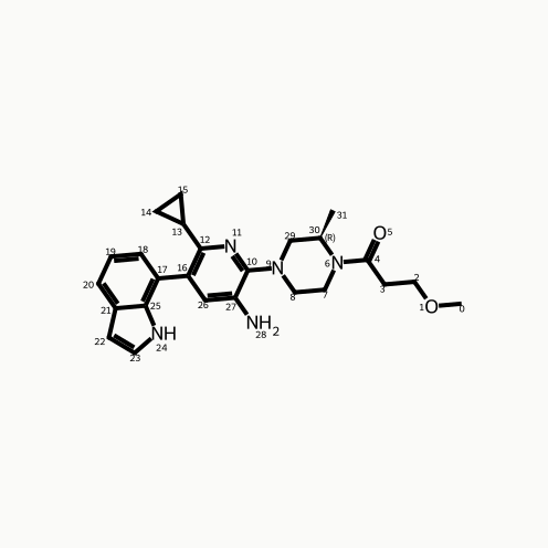 COCCC(=O)N1CCN(c2nc(C3CC3)c(-c3cccc4cc[nH]c34)cc2N)C[C@H]1C